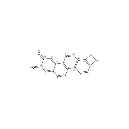 O=C1C=c2ccc3c(ncc4c5c(ccc43)CC5)c2=CC1=O